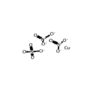 O=S(=O)([O-])[O-].O=[N+]([O-])[O-].O=[N+]([O-])[O-].[Cu]